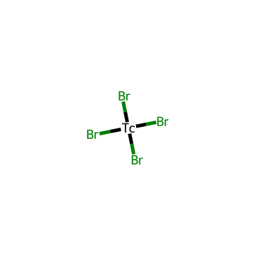 [Br][Tc]([Br])([Br])[Br]